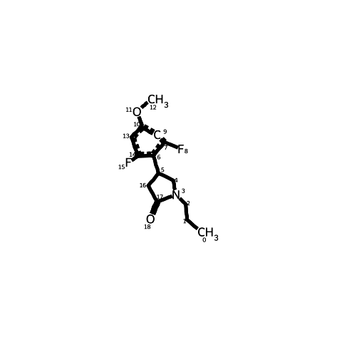 CCCN1CC(c2c(F)cc(OC)cc2F)CC1=O